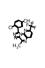 Cc1ccc(Cl)c(-c2nnc3c(C)nc4ccc(C(F)(F)F)nc4n23)c1